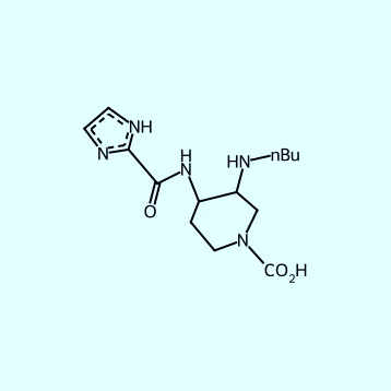 CCCCNC1CN(C(=O)O)CCC1NC(=O)c1ncc[nH]1